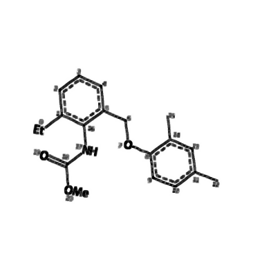 CCc1cccc(COc2ccc(C)cc2C)c1NC(=O)OC